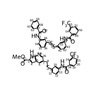 COC(=O)c1cc2cc(CSc3cccc(NC(=O)c4cccc(C(F)(F)F)c4)c3)cnc2[nH]1.O=C(Nc1cccc(SSc2cccc(NC(=O)c3cccc(C(F)(F)F)c3)c2)c1)c1ccccc1